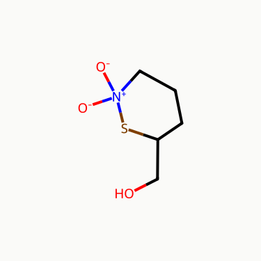 [O-][N+]1([O-])CCCC(CO)S1